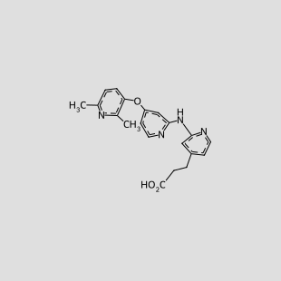 Cc1ccc(Oc2ccnc(Nc3cc(CCC(=O)O)ccn3)c2)c(C)n1